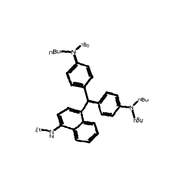 CCCCN(CCCC)c1ccc(C(c2ccc(N(CCCC)CCCC)cc2)c2ccc(NCC)c3ccccc23)cc1